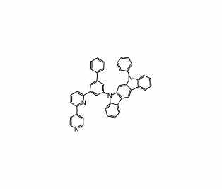 c1ccc(-c2cc(-c3cccc(-c4ccncc4)n3)cc(-n3c4ccccc4c4cc5c6ccccc6n(-c6ccccc6)c5cc43)c2)cc1